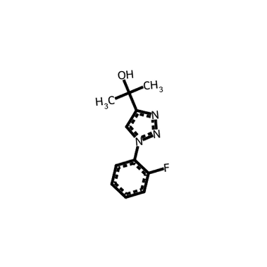 CC(C)(O)c1cn(-c2ccccc2F)nn1